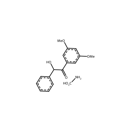 COc1cc(OC)cc(C(=O)C(O)c2ccccc2)c1.NC(=O)O